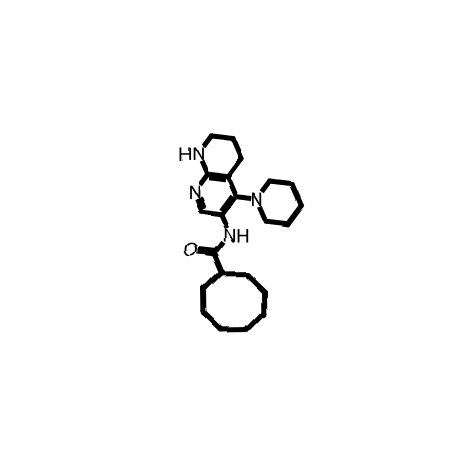 O=C(Nc1cnc2c(c1N1CCCCC1)CCCN2)C1CCCCCCC1